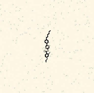 CCCCCCc1ccc(-c2cnc(OC(=O)c3ccc(CCC)cc3F)cn2)cc1